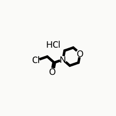 Cl.O=C(CCl)N1CCOCC1